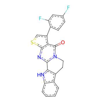 O=c1c2c(-c3ccc(F)cc3F)csc2nc2n1CCc1c-2[nH]c2ccccc12